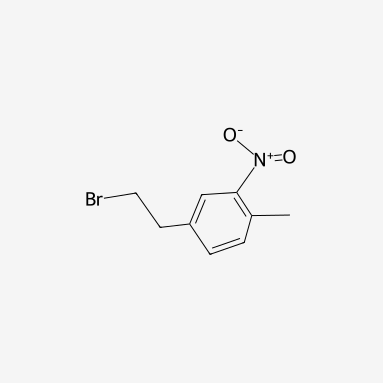 Cc1ccc(CCBr)cc1[N+](=O)[O-]